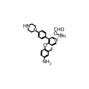 CC(C)(C)OC=O.Nc1ccc(Oc2ccncc2-c2ccc(N3CCNCC3)cc2)c(F)c1